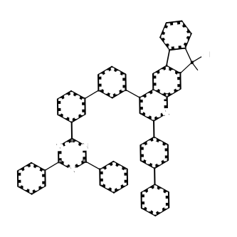 CC1(C)c2ccccc2-c2cc3c(-c4cccc(-c5cccc(-c6nc(-c7ccccc7)nc(-c7ccccc7)n6)c5)c4)cc(-c4ccc(-c5ccccc5)cc4)nc3cc21